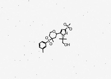 Cc1cccc(S(=O)(=O)C2(C)CCOC(c3cc(S(C)(=O)=O)nn3C(C)(C)CO)C2)c1